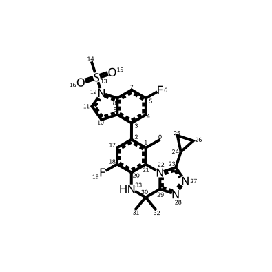 Cc1c(-c2cc(F)cc3c2ccn3S(C)(=O)=O)cc(F)c2c1-n1c(C3CC3)nnc1C(C)(C)N2